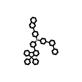 c1ccc(-c2cccc(-c3ccc(N(c4ccc(-c5ccc6ccccc6c5)cc4)c4cccc(-c5cccc6c5-c5ccccc5C6(c5ccccc5)c5ccccc5)c4)cc3)c2)cc1